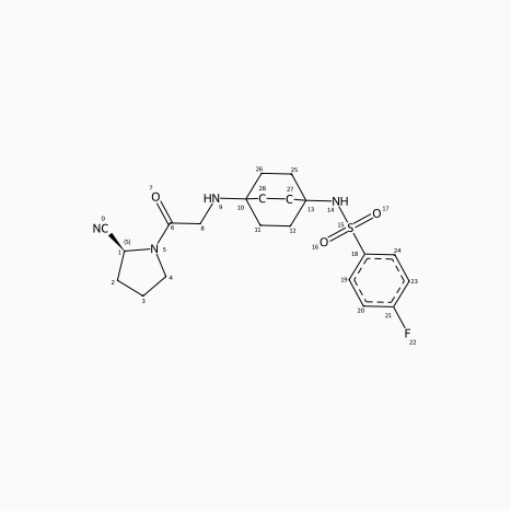 N#C[C@@H]1CCCN1C(=O)CNC12CCC(NS(=O)(=O)c3ccc(F)cc3)(CC1)CC2